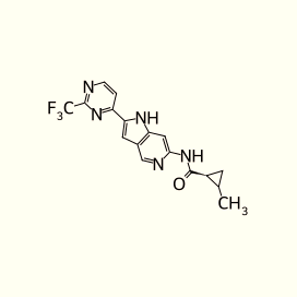 CC1C[C@@H]1C(=O)Nc1cc2[nH]c(-c3ccnc(C(F)(F)F)n3)cc2cn1